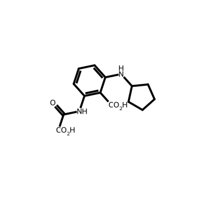 O=C(O)C(=O)Nc1cccc(NC2CCCC2)c1C(=O)O